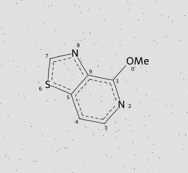 COc1nccc2scnc12